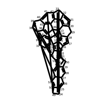 CC(=O)CCCCCC1(c2ccccc2)C23C4=C5C6=C=C4CC4=C=C7C8=C9C%10=CC%11C=C%12CC%13=C6c6c5c5c%14c%15c%16c%17c%18c(c8c(c(c%18%14)C521)C7=C43)C9C%10=C%17C%11C%16=C%12C%13c6%15